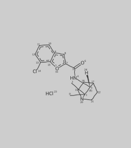 CC1(C)[C@H](NC(=O)c2cc3cccc(Cl)c3o2)C2CCN1CC2.Cl